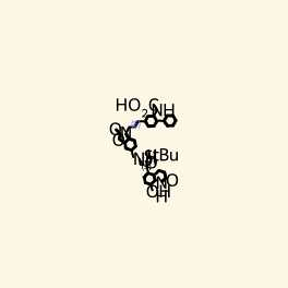 CC(C)(C)[Si](C)(C)O[C@H](CNCc1ccc2c(c1)oc(=O)n2C/C=C/c1ccc(-c2ccccc2)c(NC(=O)O)c1)c1ccc(O)c2[nH]c(=O)ccc12